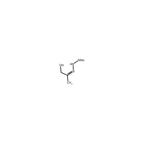 CNN/N=C(/C)CO